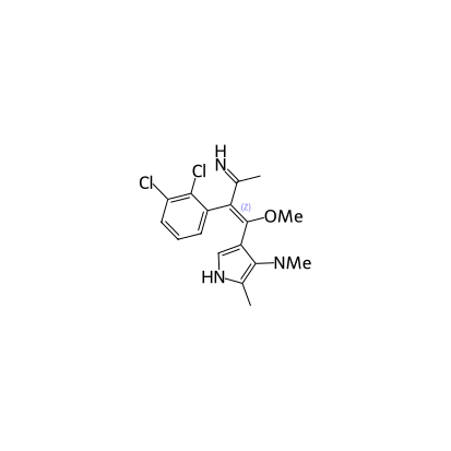 CNc1c(/C(OC)=C(/C(C)=N)c2cccc(Cl)c2Cl)c[nH]c1C